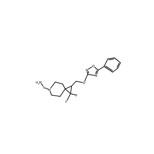 NSN1CCC2(CC1)C(COc1noc(-c3ccccc3)n1)C2(F)F